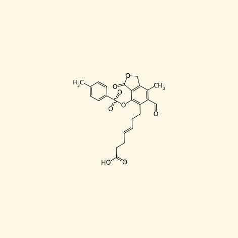 Cc1ccc(S(=O)(=O)Oc2c(CCC=CCCC(=O)O)c(C=O)c(C)c3c2C(=O)OC3)cc1